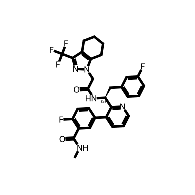 CNC(=O)c1cc(-c2cccnc2[C@H](Cc2cccc(F)c2)NC(=O)Cn2nc(C(F)(F)F)c3c2CCCC3)ccc1F